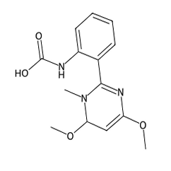 COC1=CC(OC)N(C)C(c2ccccc2NC(=O)O)=N1